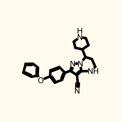 N#Cc1c(-c2ccc(Oc3ccccc3)cc2)nn2c1NCCC2C1CCNCC1